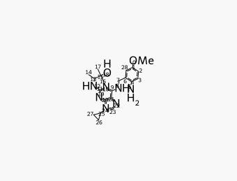 COc1ccc(N)c(CNc2nc(NC(C)C(C)(C)O)nc3c2ncn3C2CC2)c1